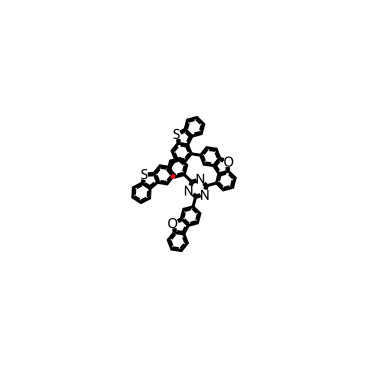 c1ccc(-c2nc(-c3ccc4c(c3)oc3ccccc34)nc(-c3cccc4oc5ccc(-c6cc(-c7ccc8c(c7)sc7ccccc78)cc7sc8ccccc8c67)cc5c34)n2)cc1